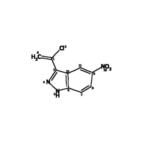 C=C(Cl)c1n[nH]c2ccc([N+](=O)[O-])cc12